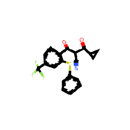 N#CC(C(=O)c1ccc(C(F)(F)F)cc1Sc1ccccc1)C(=O)C1CC1